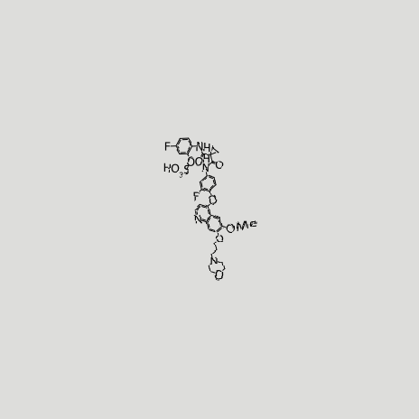 COc1cc2c(Oc3ccc(NC(=O)C4(C(=O)Nc5ccc(F)cc5OS(=O)(=O)O)CC4)cc3F)ccnc2cc1OCCCN1CCOCC1